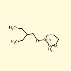 CCC(CC)C[O][SnH]1[CH2]CC[O][SnH2]1